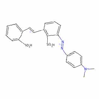 CN(C)c1ccc(/N=N/c2cccc(/C=C/c3ccccc3S(=O)(=O)O)c2S(=O)(=O)O)cc1